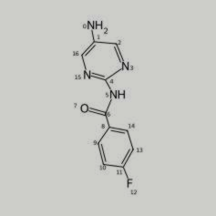 Nc1cnc(NC(=O)c2ccc(F)cc2)nc1